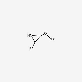 CC(C)OC1NC1C(C)C